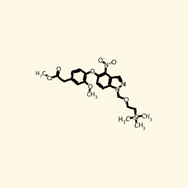 COC(=O)Cc1ccc(Oc2ccc3c(cnn3COCC[Si](C)(C)C)c2[N+](=O)[O-])c(OC)c1